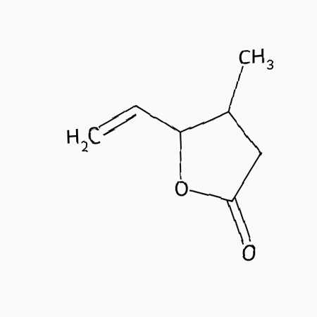 C=CC1OC(=O)CC1C